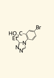 CCc1nncn1-c1ccc(Br)cc1C(=O)O